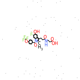 Cc1c(CCC(=O)NCCC(=O)O)c2cc(O)c(F)cc2n1C(=O)c1ccc(OC(F)(F)F)cc1